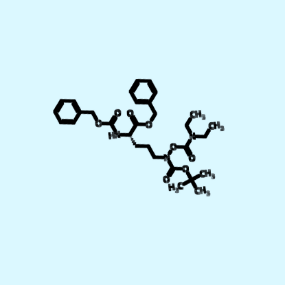 CCN(CC)C(=O)ON(CCC[C@H](NC(=O)OCc1ccccc1)C(=O)OCc1ccccc1)C(=O)OC(C)(C)C